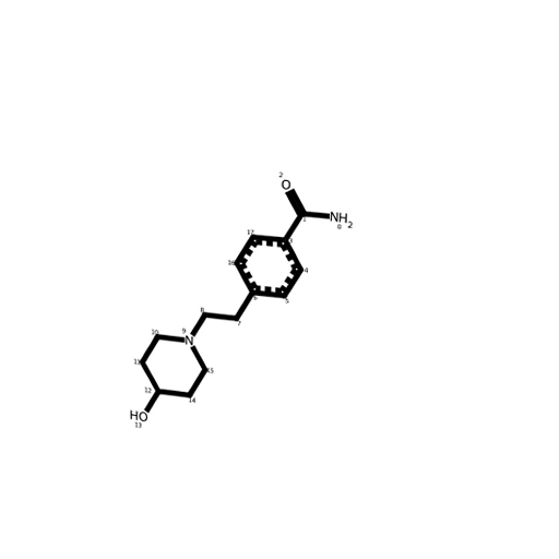 NC(=O)c1ccc(CCN2CCC(O)CC2)cc1